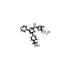 Cc1nc(Nc2nc(N3CCOCC3)cc(N3CCC(C(C)(C)O)CC3)n2)sc1C(=O)O